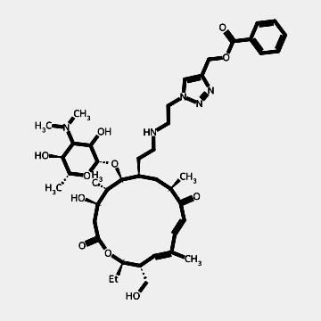 CC[C@H]1OC(=O)C[C@@H](O)[C@H](C)[C@@H](O[C@@H]2O[C@H](C)[C@@H](O)C(N(C)C)C2O)[C@@H](CCNCCn2cc(COC(=O)c3ccccc3)nn2)C[C@@H](C)C(=O)/C=C/C(C)=C/[C@@H]1CO